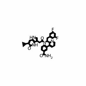 NC(=O)c1cccc(-c2cccnc2C(Cc2cc(F)cc(F)c2)NC(=O)Cc2c[nH]c3cc(C4CC4)c(=O)[nH]c23)c1